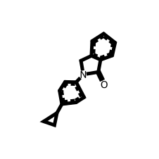 O=C1c2ccccc2CN1c1ccc(C2CC2)cc1